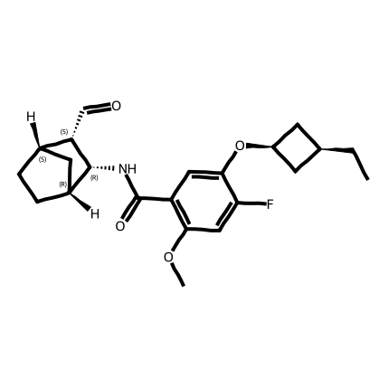 CC[C@H]1C[C@@H](Oc2cc(C(=O)N[C@@H]3[C@@H]4CC[C@@H](C4)[C@@H]3C=O)c(OC)cc2F)C1